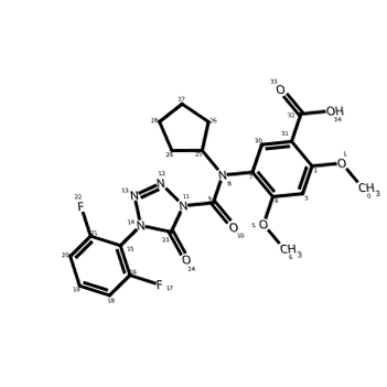 COc1cc(OC)c(N(C(=O)n2nnn(-c3c(F)cccc3F)c2=O)C2CCCC2)cc1C(=O)O